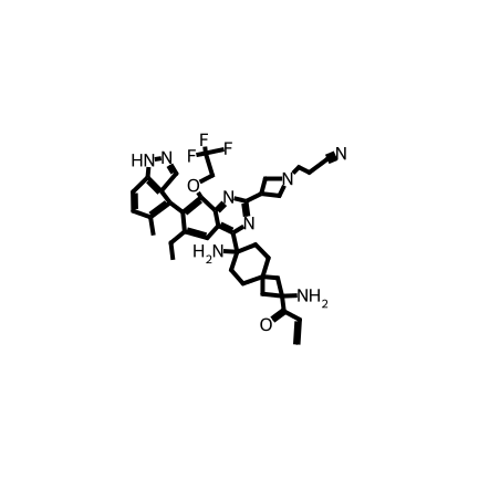 C=CC(=O)C1(N)CC2(CCC(N)(c3nc(C4CN(CCC#N)C4)nc4c(OCC(F)(F)F)c(-c5c(C)ccc6[nH]ncc56)c(CC)cc34)CC2)C1